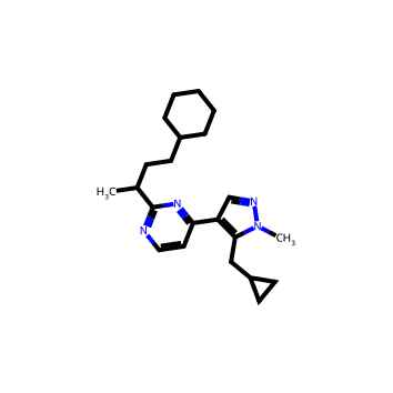 CC(CCC1CCCCC1)c1nccc(-c2cnn(C)c2CC2CC2)n1